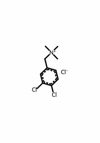 C[N+](C)(C)Cc1ccc(Cl)c(Cl)c1.[Cl-]